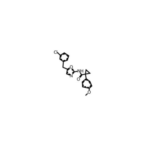 COc1ccc(C2(C(=O)Nc3ncc(Cc4cccc(Cl)c4)o3)CC2)cc1